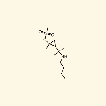 CCCCN[Si](C)(C)C1CC1(C)OS(C)(=O)=O